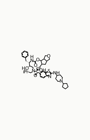 CC(C)CN(C[C@@H](O)[C@H](Cc1ccccc1)NC(=O)OC1C(CO)CC2COCC21)S(=O)(=O)c1ccc2nc(NC3CCN(C4CCCC4)CC3)sc2c1